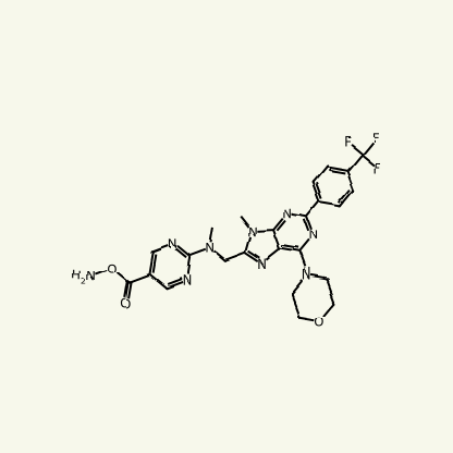 CN(Cc1nc2c(N3CCOCC3)nc(-c3ccc(C(F)(F)F)cc3)nc2n1C)c1ncc(C(=O)ON)cn1